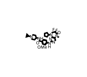 COc1cc(C(=O)NC2CCN(C3CC3)CC2)ccc1Nc1ncc2c(n1)N(C1CCCC1)CC(F)(F)C(=O)N2C